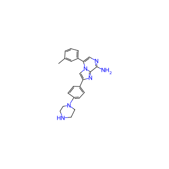 Cc1cccc(-c2cnc(N)c3nc(-c4ccc(N5CCNCC5)cc4)cn23)c1